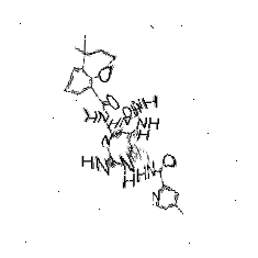 Cc1ccnc(C(=O)NC[C@@H]2NC(=N)N3CC(NC(=O)c4cccc5c4OCCC5(C)C)[C@@H](O)[C@@]34NC(=N)N[C@@H]24)c1